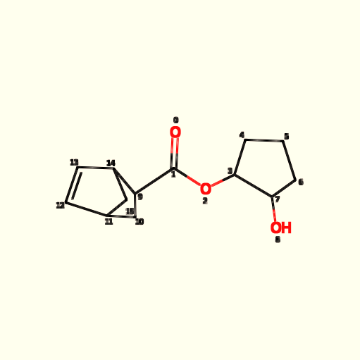 O=C(OC1CCCC1O)C1CC2C=CC1C2